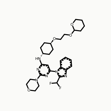 FC(F)c1nc2ccccc2n1-c1cc(N[C@H]2CC[C@H](OCCOC3CCCCO3)CC2)nc(N2CCOCC2)n1